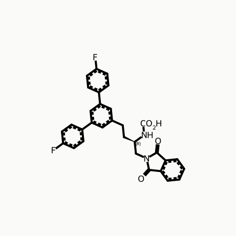 O=C(O)N[C@H](CCc1cc(-c2ccc(F)cc2)cc(-c2ccc(F)cc2)c1)CN1C(=O)c2ccccc2C1=O